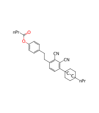 CCCC(=O)Oc1ccc(CCc2ccc(C34CCC(CCC)(CC3)CC4)c(C#N)c2C#N)cc1